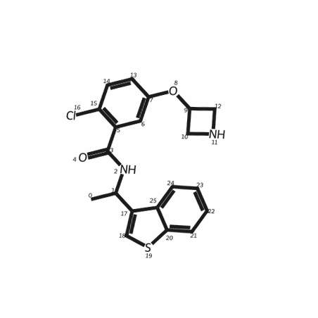 CC(NC(=O)c1cc(OC2CNC2)ccc1Cl)c1csc2ccccc12